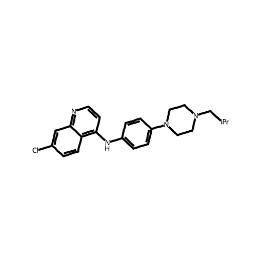 CC(C)CN1CCN(c2ccc(Nc3ccnc4cc(Cl)ccc34)cc2)CC1